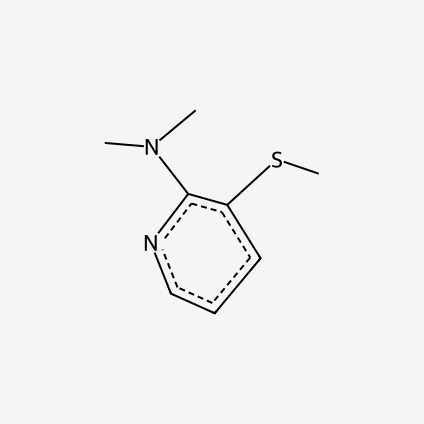 CSc1cccnc1N(C)C